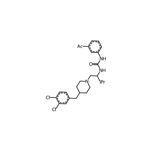 CC(=O)c1cccc(NC(=O)NC(CN2CCC(Cc3ccc(Cl)c(Cl)c3)CC2)C(C)C)c1